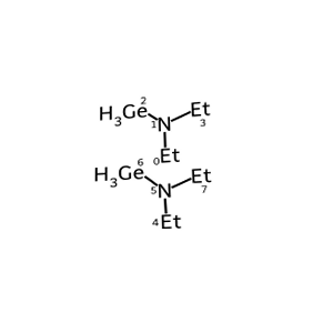 CC[N]([GeH3])CC.CC[N]([GeH3])CC